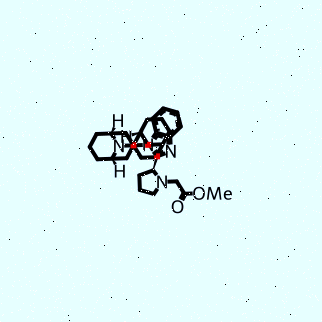 COC(=O)CN1CCC[C@H]1c1nc2ccccc2n1C1C[C@H]2CCC[C@@H](C1)N2C1CCC2CCC[C@@H]1C2